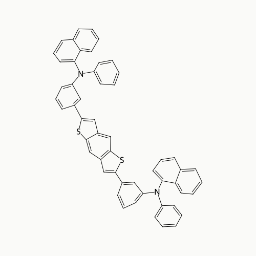 c1ccc(N(c2cccc(-c3cc4cc5sc(-c6cccc(N(c7ccccc7)c7cccc8ccccc78)c6)cc5cc4s3)c2)c2cccc3ccccc23)cc1